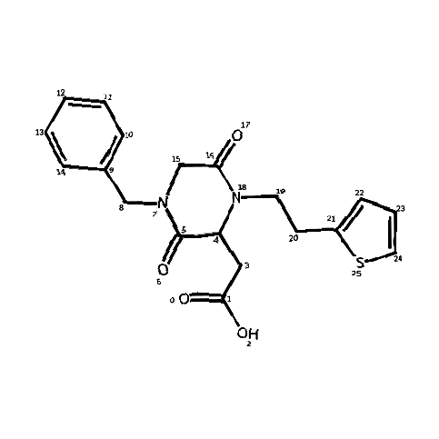 O=C(O)CC1C(=O)N(Cc2ccccc2)CC(=O)N1CCc1cccs1